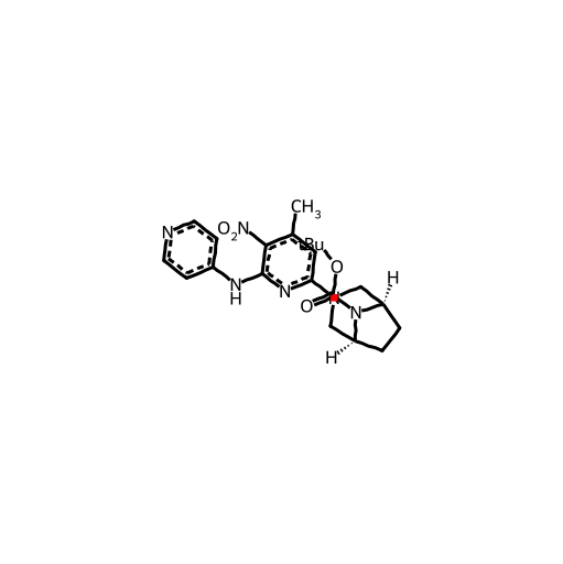 Cc1cc(N2C[C@H]3CC[C@@H](C2)N3C(=O)OC(C)(C)C)nc(Nc2ccncc2)c1[N+](=O)[O-]